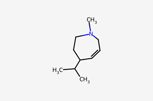 CC(C)C1C=CCN(C)CC1